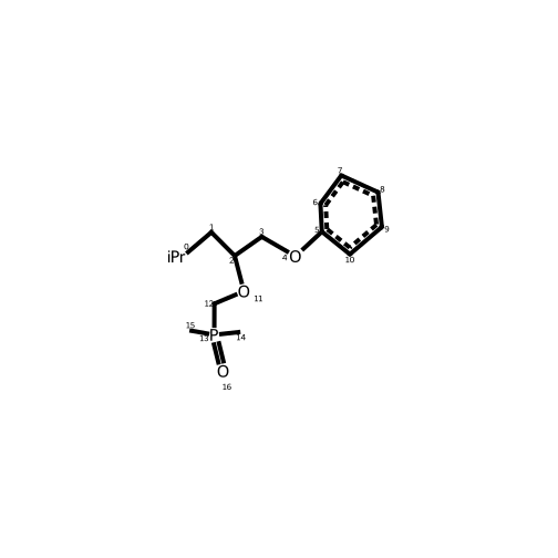 CC(C)CC(COc1ccccc1)OCP(C)(C)=O